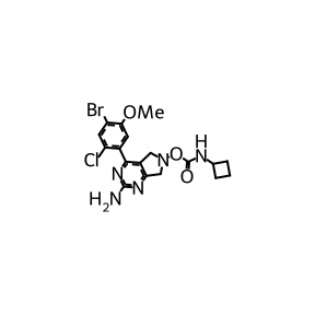 COc1cc(-c2nc(N)nc3c2CN(OC(=O)NC2CCC2)C3)c(Cl)cc1Br